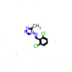 Cc1nncn1N=Cc1c(Cl)cccc1Cl